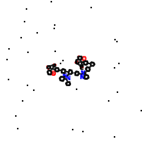 c1ccc(-c2nc(-c3cc(-c4ccc(-c5nc(-c6ccc(-c7ccccc7-c7ccc8c(c7)Oc7ccccc7C87c8ccccc8-c8ccccc87)cc6)c6ccccc6n5)cc4)ccc3-c3ccc(-c4ccc5c(c4)Oc4ccccc4C54c5ccccc5-c5ccccc54)cc3)nc3ccccc23)cc1